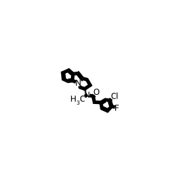 CN(C(=O)Cc1ccc(F)c(Cl)c1)[C@@H]1CCc2[c]c3ccccc3n2C1